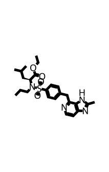 CCCN([C@@H](CC(C)C)C(=O)OCC)S(=O)(=O)c1ccc(Cc2nccc3nc(C)[nH]c23)cc1